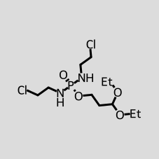 CCOC(CCOP(=O)(NCCCl)NCCCl)OCC